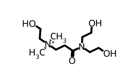 C[N+](C)(CCO)CCC(=O)N(CCO)CCO